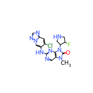 Cn1c(=O)n(C2CNCC2F)c2nc(Nc3cn4ncnc4cc3Cl)ncc21